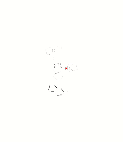 Cc1ccc2cccc(N3CCc4c(nc(OCC5CCCN5C)nc4N4C[C@H]5CC[C@@H](C4)N5C(=O)OC(C)(C)C)C3)c2c1